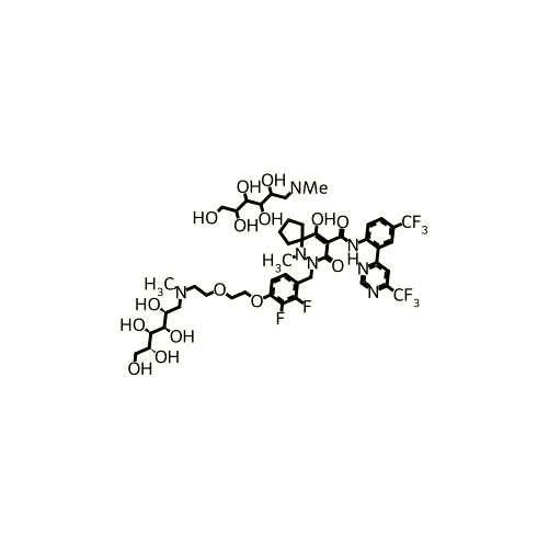 CN(CCOCCOc1ccc(CN2C(=O)C(C(=O)Nc3ccc(C(F)(F)F)cc3-c3cc(C(F)(F)F)ncn3)=C(O)C3(CCCC3)N2C)c(F)c1F)C[C@H](O)[C@@H](O)[C@H](O)[C@H](O)CO.CNCC(O)C(O)C(O)C(O)CO